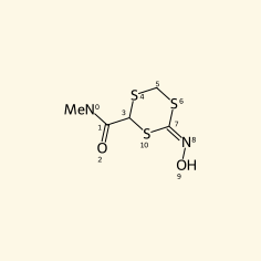 CNC(=O)C1SCS/C(=N/O)S1